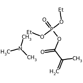 C=C(C)C(=O)OP(=O)(OCC)OCC.CN(C)C